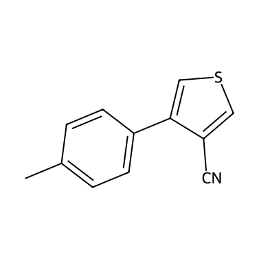 Cc1ccc(-c2cscc2C#N)cc1